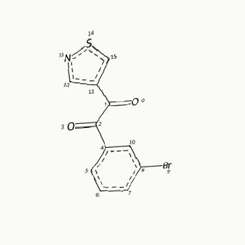 O=C(C(=O)c1cccc(Br)c1)c1cnsc1